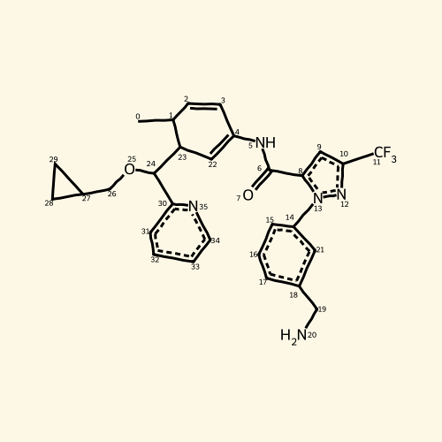 CC1C=CC(NC(=O)c2cc(C(F)(F)F)nn2-c2cccc(CN)c2)=CC1C(OCC1CC1)c1ccccn1